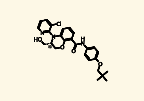 CC(C)(C)COc1ccc(NC(=O)c2cccc3c2OC[C@H](CO)N3c2ncccc2Cl)cc1